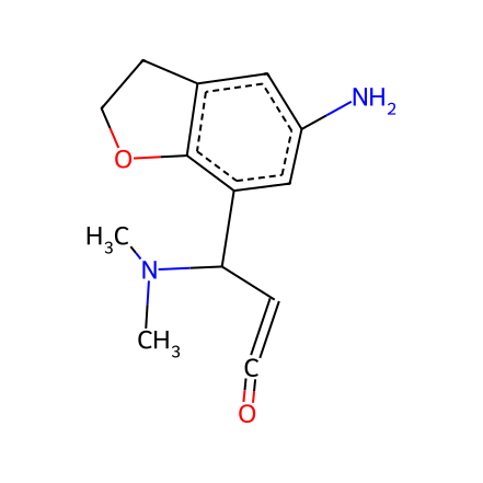 CN(C)C(C=C=O)c1cc(N)cc2c1OCC2